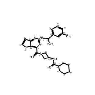 CC(Nc1nc(C(=O)N2CC(NC(=O)C3CCCCC3)C2)c2sccc2n1)c1cncc(F)c1